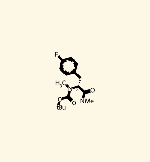 CNC(=O)[C@@H](Cc1ccc(F)cc1)N(C)C(=O)OC(C)(C)C